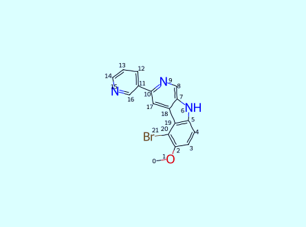 COc1ccc2[nH]c3cnc(-c4cccnc4)cc3c2c1Br